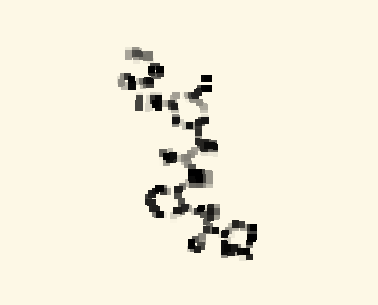 CC(C)(C)OC(=O)Nc1cc(Cl)cc(NC(=S)Nc2ccccc2NC(=O)c2csnn2)c1